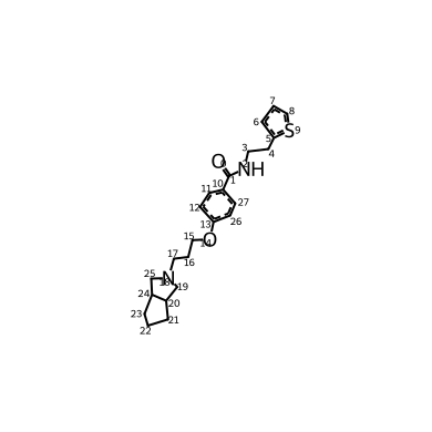 O=C(NCCc1cccs1)c1ccc(OCCCN2CC3CCCC3C2)cc1